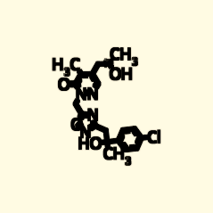 Cc1c(C[C@@H](C)O)cnn(Cc2nc(CC(C)(O)c3ccc(Cl)cc3)no2)c1=O